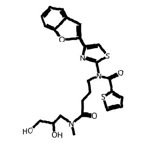 CN(CC(O)CO)C(=O)CCCN(C(=O)c1cccs1)c1nc(-c2cc3ccccc3o2)cs1